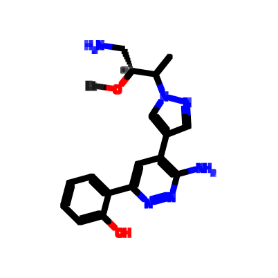 CCO[C@H](CN)C(C)n1cc(-c2cc(-c3ccccc3O)nnc2N)cn1